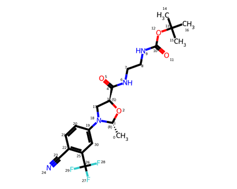 C[C@H]1O[C@H](C(=O)NCCNC(=O)OC(C)(C)C)CN1c1ccc(C#N)c(C(F)(F)F)c1